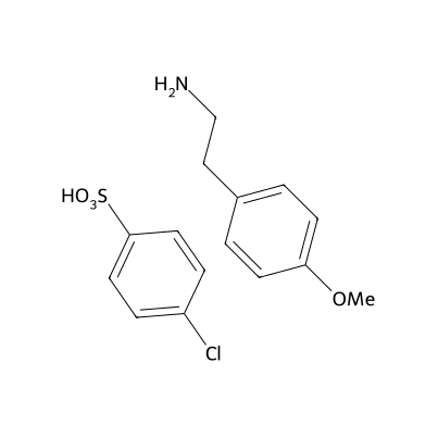 COc1ccc(CCN)cc1.O=S(=O)(O)c1ccc(Cl)cc1